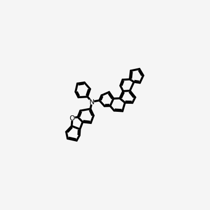 c1ccc(N(c2ccc3c(ccc4ccc5c6ccccc6ccc5c43)c2)c2ccc3c(c2)oc2ccccc23)cc1